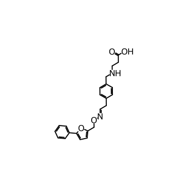 O=C(O)CCNCc1ccc(CC=NOCc2ccc(-c3ccccc3)o2)cc1